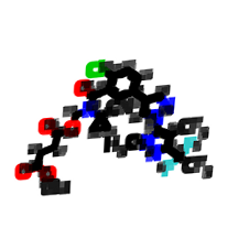 Cn1nc(C(F)(F)C(F)(F)F)c(C(F)(F)F)c1-n1cc(-c2ccc(Cl)c(C(=O)N(COC(=O)CCC(=O)OC(C)(C)C)C3(C#N)CC3)c2)cn1